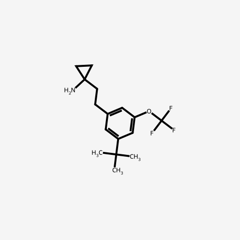 CC(C)(C)c1cc(CCC2(N)CC2)cc(OC(F)(F)F)c1